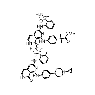 CNC(=O)C(C)(C)c1ccc(Nc2nc(Nc3ccccc3S(N)(=O)=O)cc3cc[nH]c(=O)c23)cc1.Cc1cccc(Nc2cc3cc[nH]c(=O)c3c(Nc3ccc(C4CCN(C5CC5)CC4)cc3)n2)c1S(N)(=O)=O